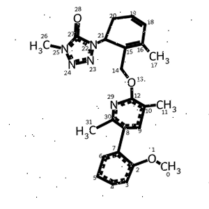 COc1ccccc1-c1cc(C)c(OCC2=C(C)C=CCC2n2nnn(C)c2=O)nc1C